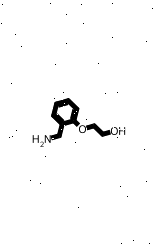 NCc1ccccc1OCCO